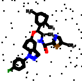 Cc1ccc(C)c([C@H](Oc2ccc3c(cnn3-c3ccc(F)cc3)c2)[C@H](C)NC(=O)c2ncc(C)s2)c1